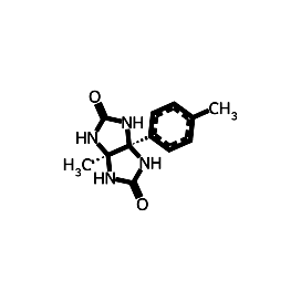 Cc1ccc([C@]23NC(=O)N[C@@]2(C)NC(=O)N3)cc1